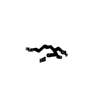 CCCCCCC(CC)C(=O)O.Cl